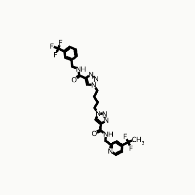 CC(F)(F)c1ccnc(CNC(=O)c2cn(CCCCn3cc(C(=O)NCc4cccc(C(F)(F)F)c4)nn3)nn2)c1